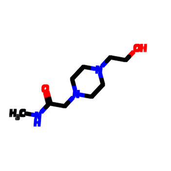 CNC(=O)CN1CCN(CCO)CC1